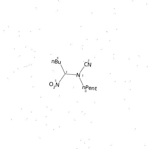 CCCCCN(C#N)C(CCCC)[N+](=O)[O-]